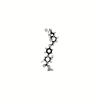 C[C@@H]1CN(c2ccc(OCC3CCn4cc([N+](=O)[O-])nc4O3)cc2)[C@@H](C)CN1C(=O)OC(C)(C)C